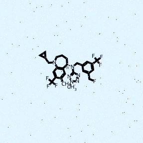 Cc1cc2c(cc1C(F)(F)F)N(CC1CC1)CCC[C@@H]2N(Cc1cc(CF)cc(C(F)(F)F)c1)c1nnn(C)n1